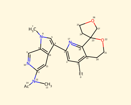 CCc1cc(-c2cn(C)c3cnc(N(C)C(C)=O)cc23)nc2c1CCOC21CCOC1